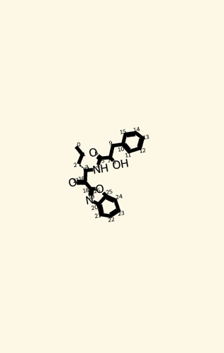 CCC[C@H](NC(=O)C(O)Cc1ccccc1)C(=O)c1nc2ccccc2o1